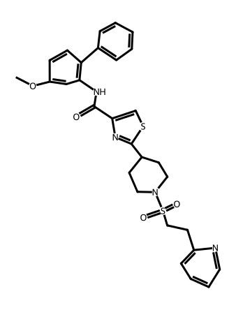 COc1ccc(-c2ccccc2)c(NC(=O)c2csc(C3CCN(S(=O)(=O)CCc4ccccn4)CC3)n2)c1